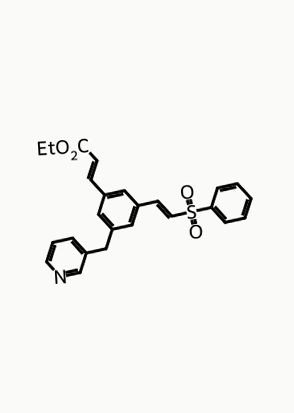 CCOC(=O)C=Cc1cc(C=CS(=O)(=O)c2ccccc2)cc(Cc2cccnc2)c1